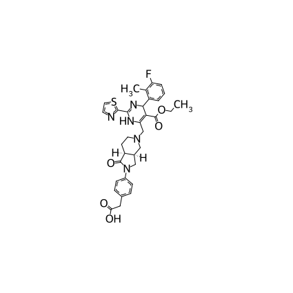 CCOC(=O)C1=C(CN2CC[C@@H]3C(=O)N(c4ccc(CC(=O)O)cc4)C[C@@H]3C2)NC(c2nccs2)=NC1c1cccc(F)c1C